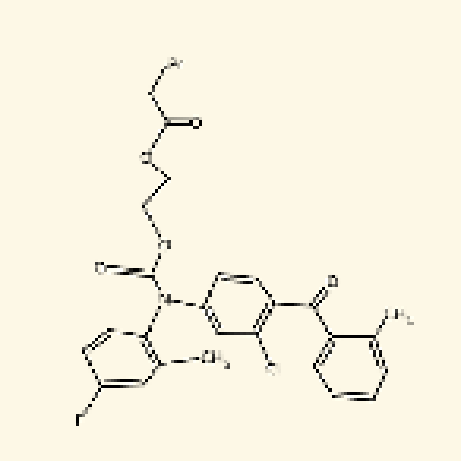 Cc1ccccc1C(=O)c1ccc(N(C(=O)OCCOC(=O)CC(C)C)c2ccc(F)cc2C)cc1Cl